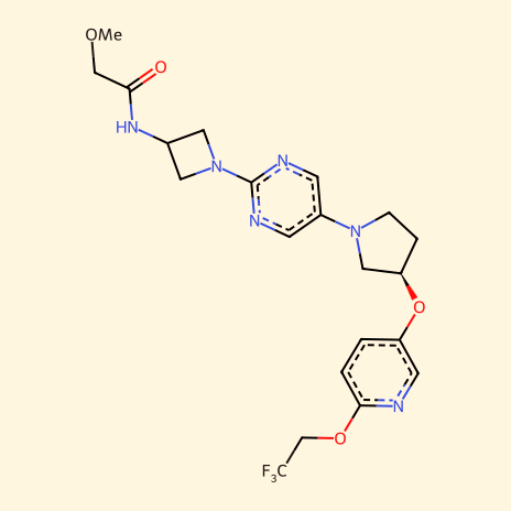 COCC(=O)NC1CN(c2ncc(N3CC[C@@H](Oc4ccc(OCC(F)(F)F)nc4)C3)cn2)C1